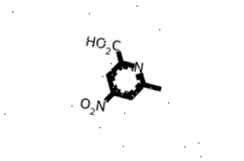 Cc1cc([N+](=O)[O-])cc(C(=O)O)n1